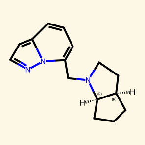 c1cc(CN2CC[C@H]3CCC[C@H]32)n2nccc2c1